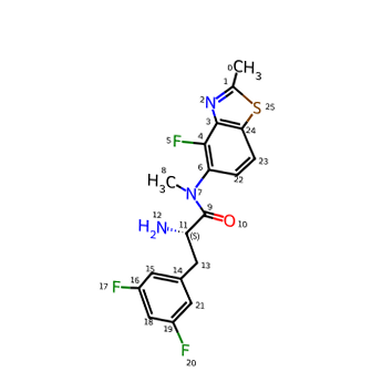 Cc1nc2c(F)c(N(C)C(=O)[C@@H](N)Cc3cc(F)cc(F)c3)ccc2s1